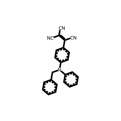 N#CC(C#N)=C(C#N)c1ccc(N(Cc2ccccc2)c2ccccc2)cc1